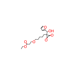 CCOC(=O)CCOCCCCCC1(C(O)c2ccco2)C(=O)C1=O